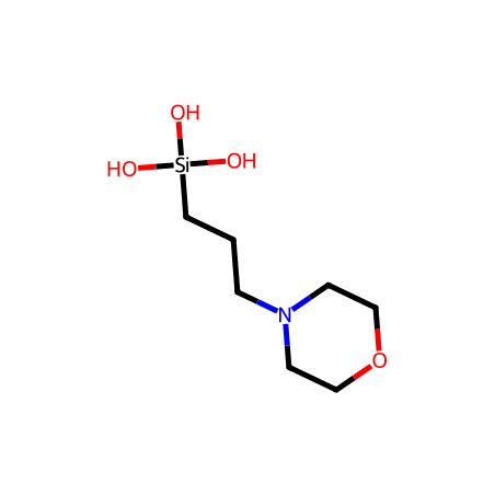 O[Si](O)(O)CCCN1CCOCC1